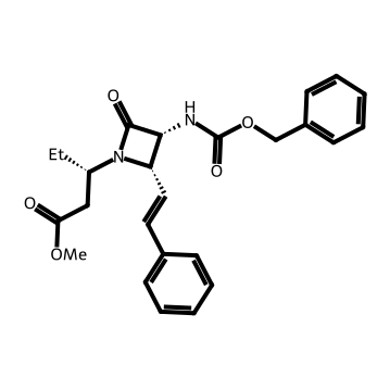 CC[C@@H](CC(=O)OC)N1C(=O)[C@H](NC(=O)OCc2ccccc2)[C@@H]1C=Cc1ccccc1